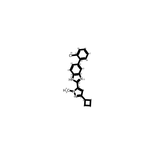 Cn1nc(C2CCC2)cc1-c1nc2cc(-c3ccccc3Cl)ccc2[nH]1